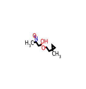 CC(CC(O)OCCC1(C)CC1)N=O